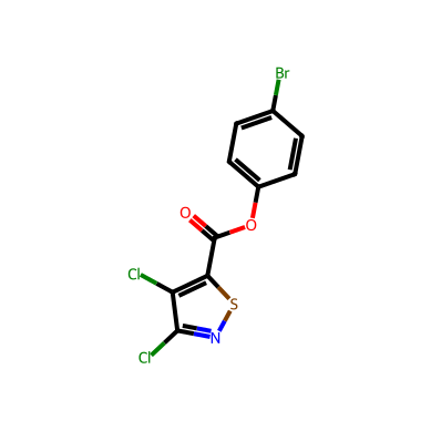 O=C(Oc1ccc(Br)cc1)c1snc(Cl)c1Cl